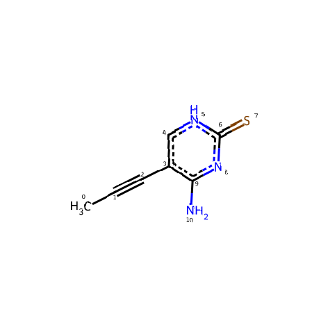 CC#Cc1c[nH]c(=S)nc1N